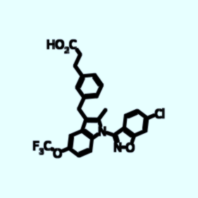 Cc1c(Cc2cccc(CCC(=O)O)c2)c2cc(OC(F)(F)F)ccc2n1-c1noc2cc(Cl)ccc12